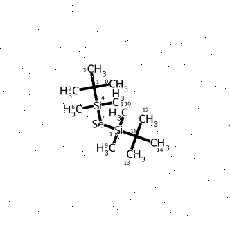 CC(C)(C)[Si](C)(C)[Se][Si](C)(C)C(C)(C)C